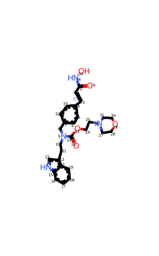 O=C(/C=C/c1ccc(CN(CCc2c[nH]c3ccccc23)C(=O)OCCN2CCOCC2)cc1)NO